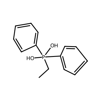 CCP(O)(O)(c1ccccc1)c1ccccc1